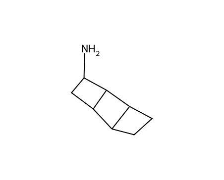 NC1CC2C3CCC3C12